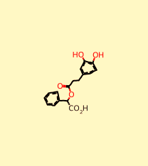 O=C(CCc1ccc(O)c(O)c1)OC(C(=O)O)c1ccccc1